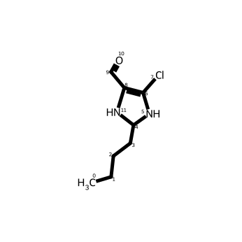 CCCCC1NC(Cl)=C(C=O)N1